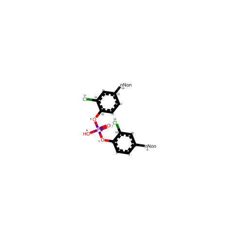 CCCCCCCCCc1ccc(OP(=O)(O)Oc2ccc(CCCCCCCCC)cc2Cl)c(Cl)c1